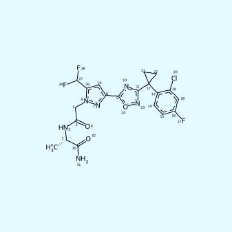 C[C@H](NC(=O)Cn1nc(-c2nc(C3(c4ccc(F)cc4Cl)CC3)no2)cc1C(F)F)C(N)=O